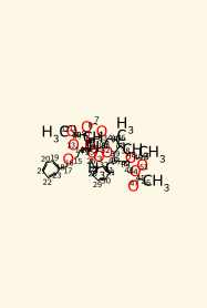 COC(=O)[C@@]1(C2OCOC3[C@H](OC)OC(COCc4ccccc4)[C@H](OCc4ccccc4)[C@@H]32)C[C@@H](C)[C@@H](C)C([C@H](C)[C@@H](COC(C)=O)OC(C)=O)O1